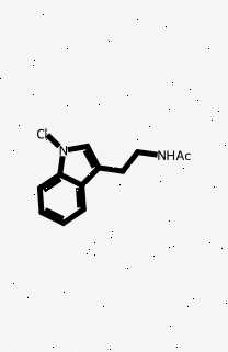 CC(=O)NCCc1cn(Cl)c2ccccc12